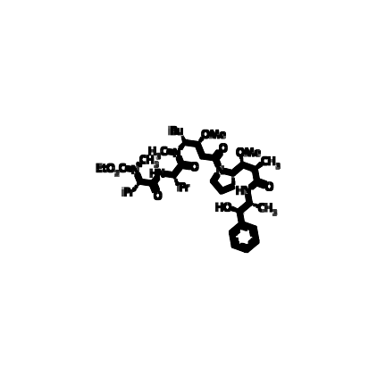 CCOC(=O)N(C)[C@H](C(=O)N[C@H](C(=O)N(C)[C@@H]([C@@H](C)CC)[C@@H](CC(=O)N1CCC[C@H]1[C@H](OC)[C@@H](C)C(=O)N[C@H](C)[C@H](O)c1ccccc1)OC)C(C)C)C(C)C